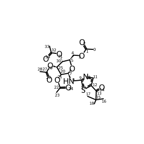 CC(=O)OC[C@H]1O[C@@H](Nc2ncc(C(=O)C(C)(C)C)s2)[C@@H](OC(C)=O)[C@@H](OC(C)=O)[C@@H]1OC(C)=O